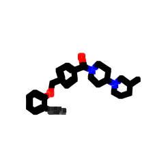 COc1ccccc1OCc1ccc(C(=O)N2CCC(N3CCCC(C)C3)CC2)cc1